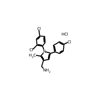 Cc1c(CN)cc(-c2ccc(Cl)cc2)n1-c1ccc(Cl)cc1Cl.Cl